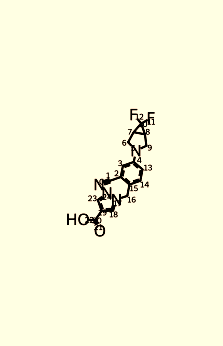 N#Cc1cc(N2CC3C(C2)C3(F)F)ccc1Cn1cc(C(=O)O)cn1